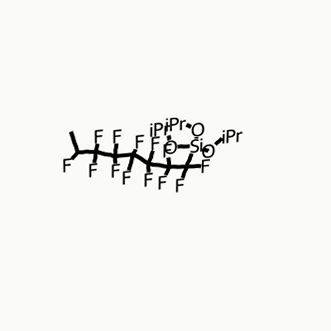 CC(C)O[Si](OC(C)C)(OC(C)C)C(F)(F)C(F)(F)C(F)(F)C(F)(F)C(F)(F)C(F)(F)C(C)F